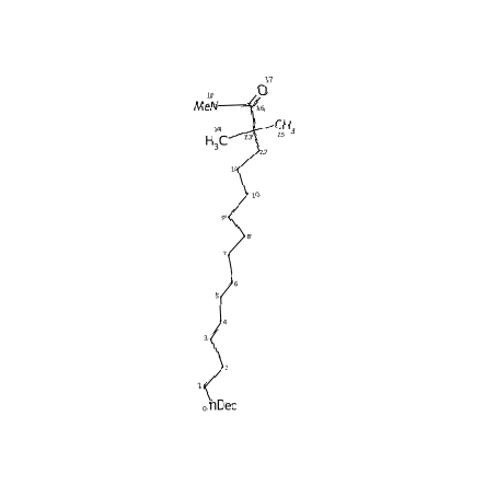 CCCCCCCCCCCCCCCCCCCCCCC(C)(C)C(=O)NC